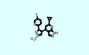 Cn1cc(-c2cc(C3CC3)nc3[nH]ncc23)c(-c2ccc(F)cn2)n1